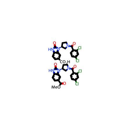 COC(=O)c1ccc2[nH]c(=O)n([C@H]3CCN(C(=O)c4ccc(Cl)cc4Cl)C3)c2c1.O=C(O)c1ccc2[nH]c(=O)n([C@H]3CCN(C(=O)c4ccc(Cl)cc4Cl)C3)c2c1